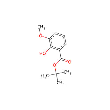 COc1cccc(C(=O)OC(C)(C)C)c1O